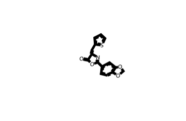 O=C1OC(c2ccc3c(c2)OCO3)=NC1=Cc1cccs1